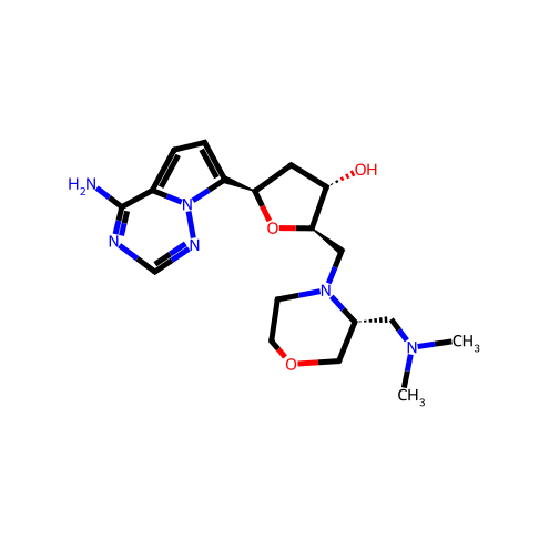 CN(C)C[C@@H]1COCCN1C[C@H]1O[C@@H](c2ccc3c(N)ncnn23)C[C@@H]1O